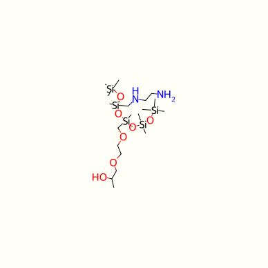 CC(O)COCCOC[Si](C)(O[Si](C)(C)O[Si](C)(C)C)O[Si](C)(CNCCN)O[Si](C)(C)C